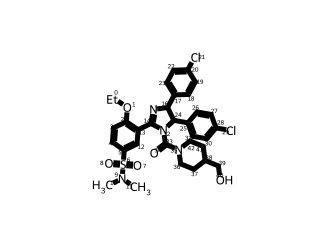 CCOc1ccc(S(=O)(=O)N(C)C)cc1C1=NC(c2ccc(Cl)cc2)C(c2ccc(Cl)cc2)N1C(=O)N1CCC(CO)CC1